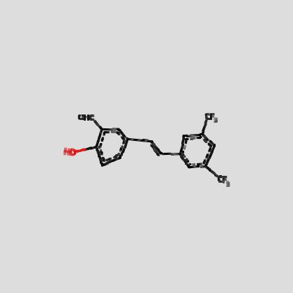 O=Cc1cc(/C=C/c2cc(C(F)(F)F)cc(C(F)(F)F)c2)ccc1O